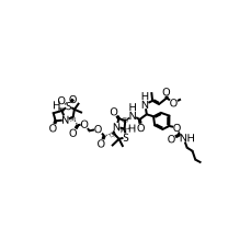 CCCCNC(=O)Oc1ccc(C(NC(C)=CC(=O)OC)C(=O)N[C@@H]2C(=O)N3[C@@H]2SC(C)(C)[C@@H]3C(=O)OCOC(=O)[C@@H]2N3C(=O)C[C@H]3S(=O)(=O)C2(C)C)cc1